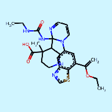 C=C(OCC)c1cc(N2C=CC=NC2(NC(=O)NCC)C2CNCCC2(C)C(=O)O)cc2ncsc12